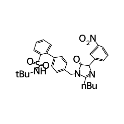 CCCCC1=NC(c2cccc([N+](=O)[O-])c2)C(=O)N1Cc1ccc(-c2ccccc2S(=O)(=O)NC(C)(C)C)cc1